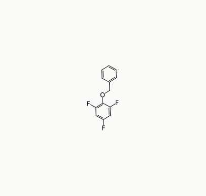 Fc1cc(F)c(OCc2c[c]ccc2)c(F)c1